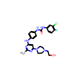 Cc1nc(Nc2ccc(NC(=O)Nc3ccc(F)c(Cl)c3)cc2)cc(N2CCN(CCO)CC2)n1